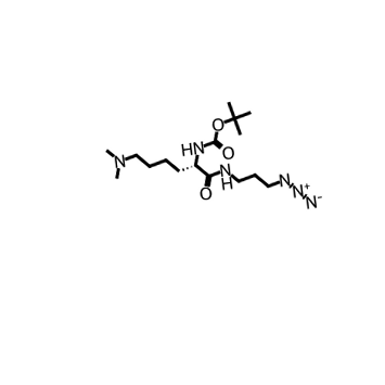 CN(C)CCCC[C@H](NC(=O)OC(C)(C)C)C(=O)NCCCN=[N+]=[N-]